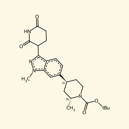 C[C@@H]1C[C@@H](c2ccc3c(C4CCC(=O)NC4=O)nn(C)c3c2)CCN1C(=O)OC(C)(C)C